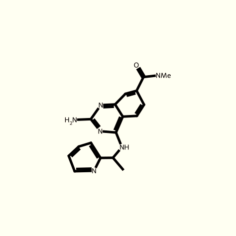 CNC(=O)c1ccc2c(NC(C)c3ccccn3)nc(N)nc2c1